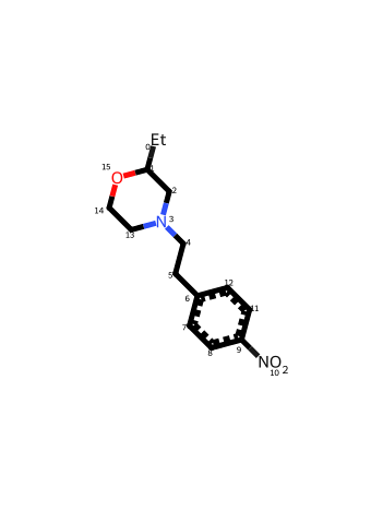 CCC1CN(CCc2ccc([N+](=O)[O-])cc2)CCO1